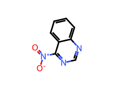 O=[N+]([O-])c1ncnc2ccccc12